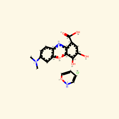 C1=CNOC=C1.CN(C)c1ccc2nc3c(C(=O)O)cc(O)c(O)c3[o+]c2c1.[Cl-]